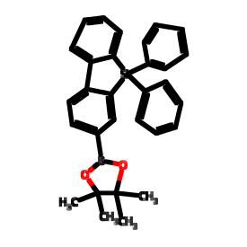 CC1(C)OB(c2ccc3c(c2)[Si](c2ccccc2)(c2ccccc2)c2ccccc2-3)OC1(C)C